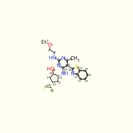 CCOCCNc1nc(C)c(-c2nc3ccccc3s2)c(N[C@@H]2C[C@H](C(F)F)C[C@H]2O)n1